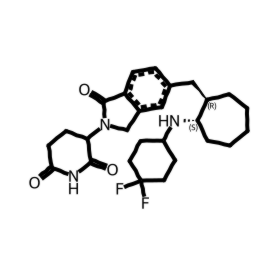 O=C1CCC(N2Cc3cc(C[C@H]4CCCCC[C@@H]4NC4CCC(F)(F)CC4)ccc3C2=O)C(=O)N1